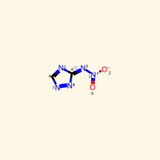 O=[N+]([O-])/N=C1/N=CN=N1